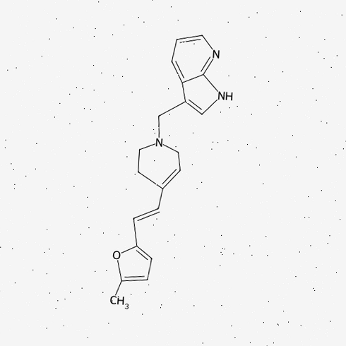 Cc1ccc(C=CC2=CCN(Cc3c[nH]c4ncccc34)CC2)o1